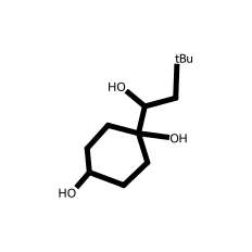 CC(C)(C)CC(O)C1(O)CCC(O)CC1